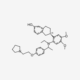 CCN(c1cc(OC)c(OC)cc1[C@@H]1CCc2cc(O)ccc2C1)C(C)c1ccc(OCCN2CCCC2)cc1